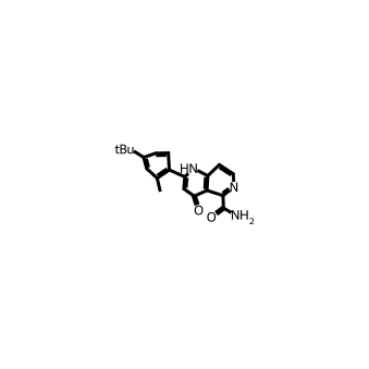 Cc1cc(C(C)(C)C)ccc1-c1cc(=O)c2c(C(N)=O)nccc2[nH]1